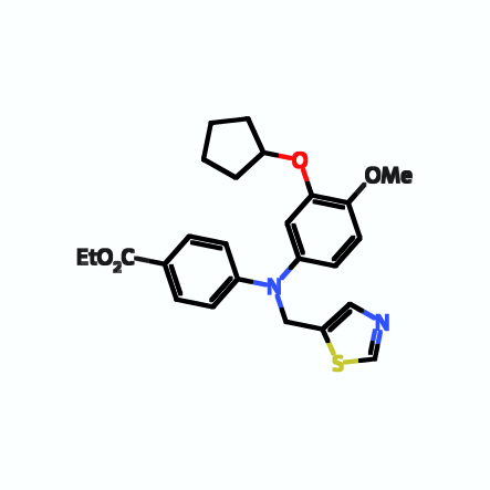 CCOC(=O)c1ccc(N(Cc2cncs2)c2ccc(OC)c(OC3CCCC3)c2)cc1